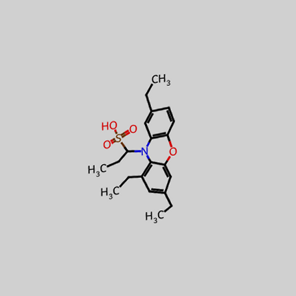 CCc1cc(CC)c2c(c1)Oc1ccc(CC)cc1N2C(CC)S(=O)(=O)O